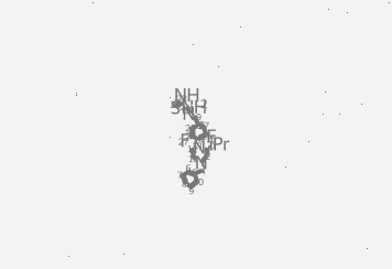 CC(C)[C@H]1CN(Cc2ccccc2)CCN1c1c(F)cc(/C=N/NC(N)=S)cc1F